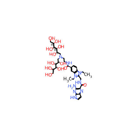 CCn1c(CNC(=O)c2nc3cc[nH]c3nc2N)[n+](CC)c2ccc(C(=O)NCCN(C[C@H](O)[C@@H](O)[C@H](O)[C@H](O)CO)C[C@H](O)[C@@H](O)[C@H](O)[C@H](O)CO)cc21